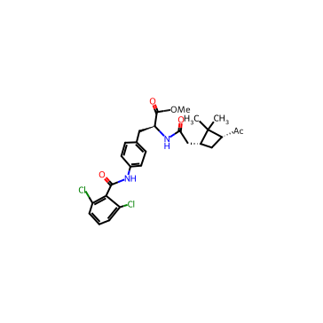 COC(=O)[C@H](Cc1ccc(NC(=O)c2c(Cl)cccc2Cl)cc1)NC(=O)C[C@H]1C[C@@H](C(C)=O)C1(C)C